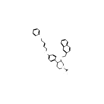 O=C(O)N1CCC(c2ccc(OCC=CCOc3ccccc3)cc2)C(OCc2ccc3ccccc3c2)C1